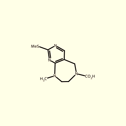 CSc1ncc2c(n1)N(C)CCN(C(=O)O)C2